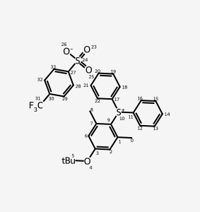 Cc1cc(OC(C)(C)C)cc(C)c1[S+](c1ccccc1)c1ccccc1.O=S(=O)([O-])c1ccc(C(F)(F)F)cc1